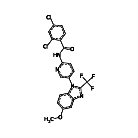 COc1ccc2c(c1)nc(C(F)(F)F)n2-c1ccc(NC(=O)c2ccc(Cl)cc2Cl)nc1